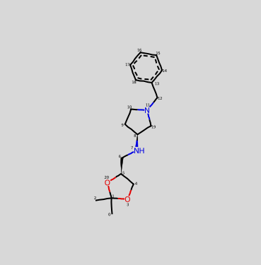 CC1(C)OC[C@H](CN[C@H]2CCN(Cc3ccccc3)C2)O1